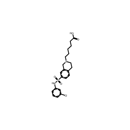 O=C(O)CCCCCN1CCc2ccc(S(=O)(=O)Nc3cccc(Cl)c3)cc2C1